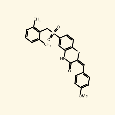 COc1ccc(/C=C2/Sc3ccc(S(=O)(=O)Cc4c(C)cccc4C)cc3NC2=O)cc1